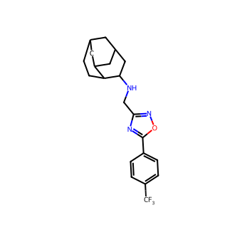 FC(F)(F)c1ccc(-c2nc(CNC3CC4CC5CCC3C(C5)C4)no2)cc1